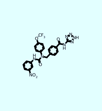 O=C(Nc1nn[nH]n1)c1ccc(CN(C(=O)Nc2cccc([N+](=O)[O-])c2)c2ccc(OC(F)(F)F)cc2)cc1